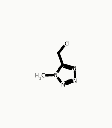 Cn1nnnc1CCl